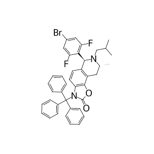 CC(C)CN1[C@H](c2c(F)cc(Br)cc2F)c2ccc3c(oc(=O)n3C(c3ccccc3)(c3ccccc3)c3ccccc3)c2C[C@H]1C